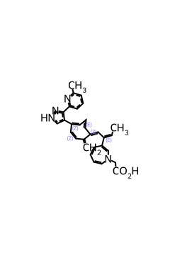 C=C1\C=C/C(c2c[nH]nc2-c2cccc(C)n2)=C/C=C/C1=C/C(=C\C)C1=CN(CC(=O)O)C=CC=C1